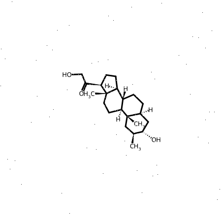 C[C@H]1C[C@@]2(C)[C@@H](CC[C@@H]3[C@@H]2CC[C@]2(C)[C@@H](C(=O)CO)CC[C@@H]32)C[C@@H]1O